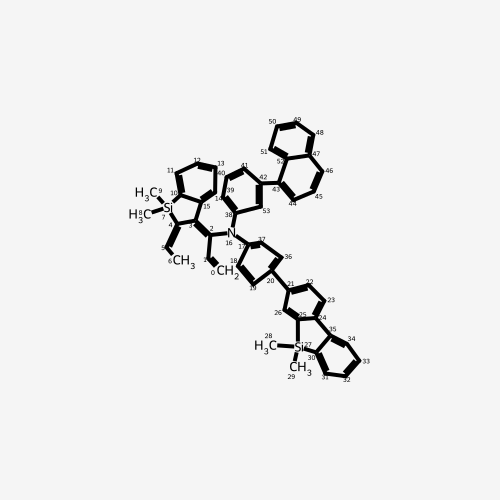 C=C/C(=C1\C(=C/C)[Si](C)(C)c2ccccc21)N(c1ccc(-c2ccc3c(c2)[Si](C)(C)c2ccccc2-3)cc1)c1cccc(-c2cccc3ccccc23)c1